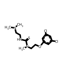 CN(C)CCNC(=S)N(C)CCOc1cc(Cl)cc(Cl)c1